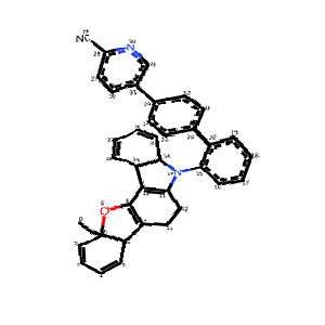 CC12C=CC=CC1C1=C(O2)C2=C(CC1)N(c1ccccc1-c1ccc(-c3ccc(C#N)nc3)cc1)C1C=CC=CC21